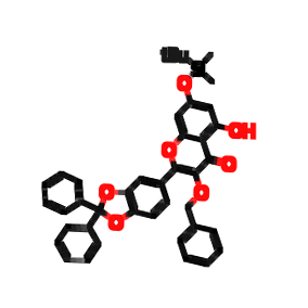 CC(C)(C)[Si](C)(C)Oc1cc(O)c2c(=O)c(OCc3ccccc3)c(-c3ccc4c(c3)OC(c3ccccc3)(c3ccccc3)O4)oc2c1